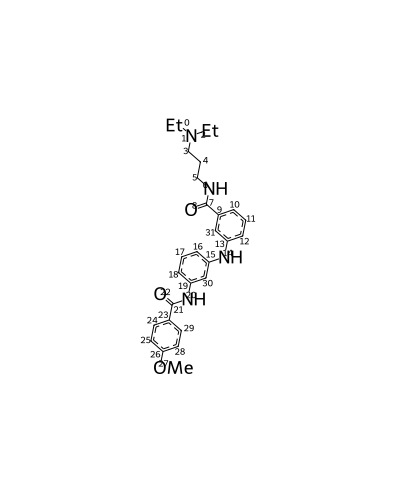 CCN(CC)CCCNC(=O)c1cccc(Nc2cccc(NC(=O)c3ccc(OC)cc3)c2)c1